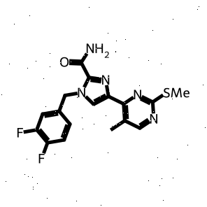 CSc1ncc(C)c(-c2cn(Cc3ccc(F)c(F)c3)c(C(N)=O)n2)n1